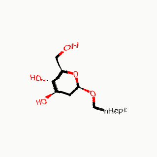 CCCCCCCCO[C@H]1C[C@@H](O)[C@H](O)[C@@H](CO)O1